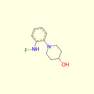 OC1CCN(c2ccccc2NF)CC1